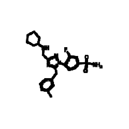 Cc1cccc(Cc2nc(CNC3CCCCC3)nn2-c2ccc(S(N)(=O)=O)cc2F)c1